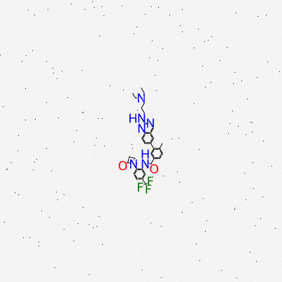 CCN(CC)CCCNc1ncc2cc(-c3cc(C(=O)Nc4cc(C(F)(F)F)ccc4N4CCC4=O)ccc3C)ccc2n1